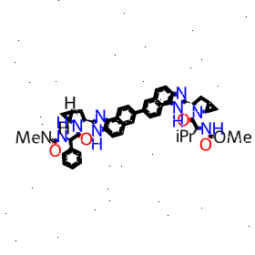 CNC(=O)N[C@@H](C(=O)N1[C@@H]2C[C@@H]2C[C@H]1c1nc2c(ccc3cc(-c4ccc5c(ccc6nc([C@@H]7CC8CC8N7C(=O)[C@@H](NC(=O)OC)C(C)C)[nH]c65)c4)ccc32)[nH]1)c1ccccc1